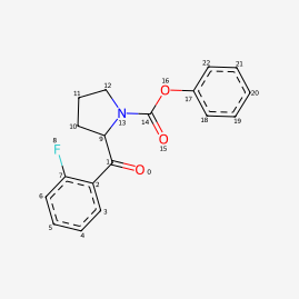 O=C(c1ccccc1F)C1CCCN1C(=O)Oc1ccccc1